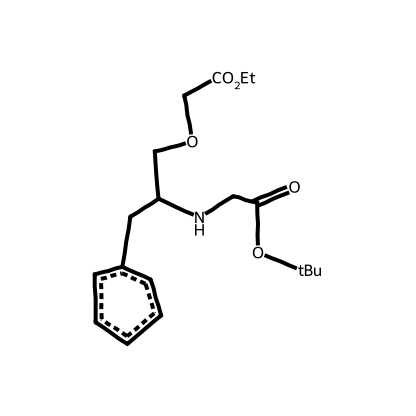 CCOC(=O)COCC(Cc1ccccc1)NCC(=O)OC(C)(C)C